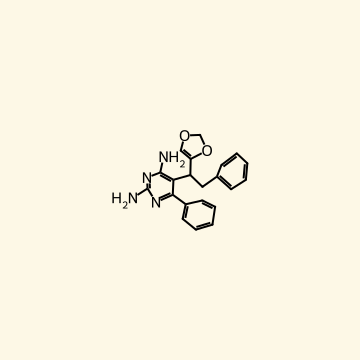 Nc1nc(N)c(C(Cc2ccccc2)C2=COCO2)c(-c2ccccc2)n1